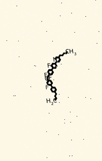 C=CCCc1ccc(-c2ccc(OC(F)(F)c3ccc(-c4ccc(-c5ccc(CCCCC)cn5)cc4F)cc3)cc2F)cc1